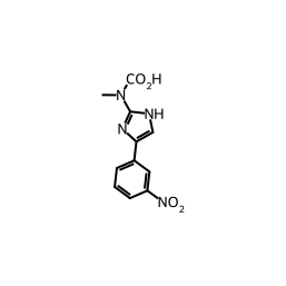 CN(C(=O)O)c1nc(-c2cccc([N+](=O)[O-])c2)c[nH]1